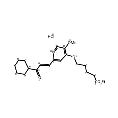 CCOC(=O)CCCCOc1cc(C=CC(=O)C2CCCCC2)ncc1OC.Cl